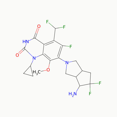 COc1c(N2CC3CC(F)(F)C(N)C3C2)c(F)c(C(F)F)c2c(=O)[nH]c(=O)n(C3CC3)c12